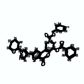 O=C(OC1CN(C(=O)OCc2ccccc2)Cc2c1oc(=O)c1sc(-c3cnn(C4CCCCO4)c3)cc21)c1ccccc1